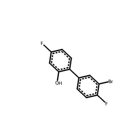 Oc1cc(F)ccc1-c1ccc(F)c(Br)c1